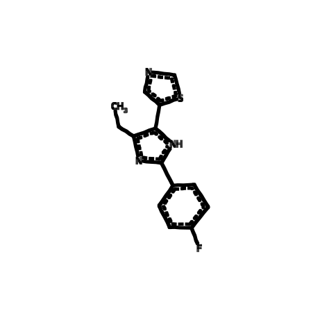 CCc1nc(-c2ccc(F)cc2)[nH]c1-c1cncs1